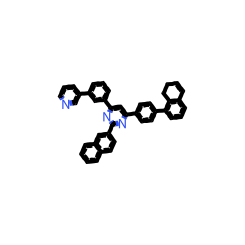 C1=Cc2cccc(-c3ccc(-c4cc(-c5cccc(-c6cccnc6)c5)nc(-c5ccc6ccccc6c5)n4)cc3)c2CC1